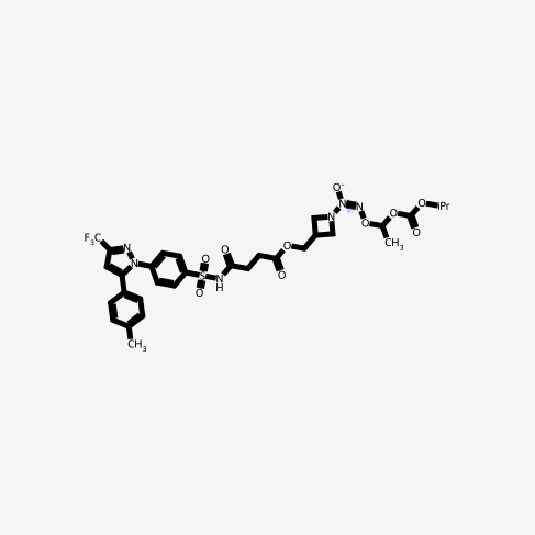 Cc1ccc(-c2cc(C(F)(F)F)nn2-c2ccc(S(=O)(=O)NC(=O)CCC(=O)OCC3CN(/[N+]([O-])=N\OC(C)OC(=O)OC(C)C)C3)cc2)cc1